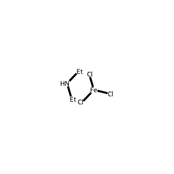 CCNCC.[Cl][Fe]([Cl])[Cl]